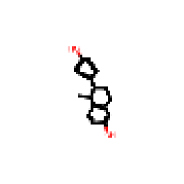 CC1c2ccc(O)cc2CCC1c1ccc(O)cc1